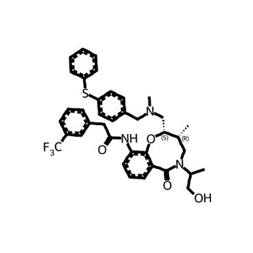 CC(CO)N1C[C@@H](C)[C@@H](CN(C)Cc2ccc(Sc3ccccc3)cc2)Oc2c(NC(=O)Cc3cccc(C(F)(F)F)c3)cccc2C1=O